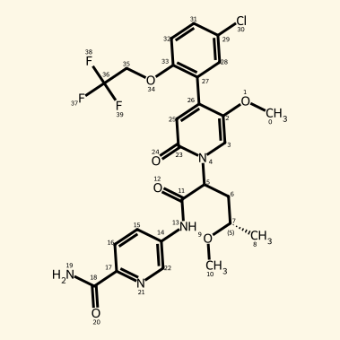 COc1cn(C(C[C@H](C)OC)C(=O)Nc2ccc(C(N)=O)nc2)c(=O)cc1-c1cc(Cl)ccc1OCC(F)(F)F